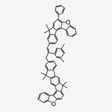 Cc1cc(C)cc(/C(=C\c2ccc3c(c2)C(C)(C)c2cc(-c4ccccc4)c4oc5ccccc5c4c2-3)Cc2ccc3c(c2)C(C)(C)c2cc4c(cc2-3)C(C)(C)c2ccc3oc5ccccc5c3c2-4)c1